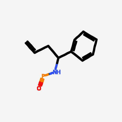 C=CCC(NP=O)c1ccccc1